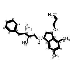 C=CCO[C@H]1C[C@@H](NC[C@@H](O)[C@@H](N)Cc2ccccc2)c2cc(C)cc(C)c21